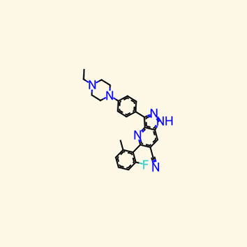 CCN1CCN(c2ccc(-c3n[nH]c4cc(C#N)c(-c5c(C)cccc5F)nc34)cc2)CC1